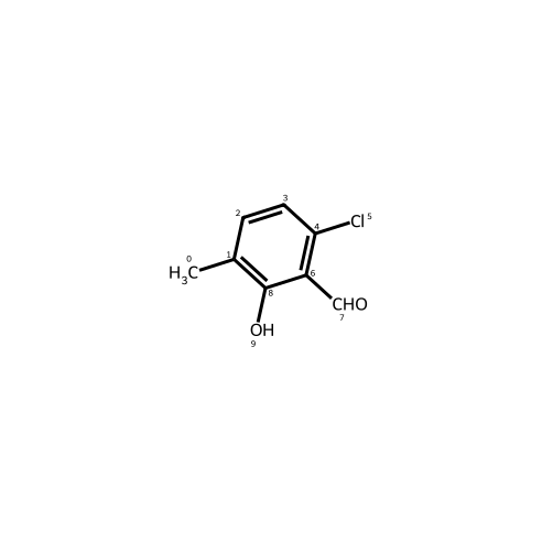 Cc1ccc(Cl)c(C=O)c1O